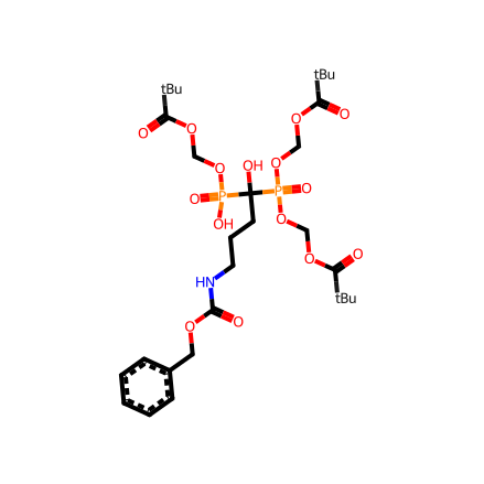 CC(C)(C)C(=O)OCOP(=O)(O)C(O)(CCCNC(=O)OCc1ccccc1)P(=O)(OCOC(=O)C(C)(C)C)OCOC(=O)C(C)(C)C